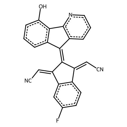 N#C/C=C1C(=C2\c3cccnc3-c3c(O)cccc32)/C(=C/C#N)c2cc(F)ccc2/1